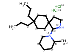 CCCC1(CCC)CCC2(CCNC2N2CCCCC2C)CC1.Cl.Cl